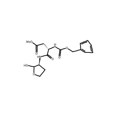 COC(=O)C[C@H](NC(=O)OCc1ccccc1)C(=O)N[C@H]1CCOC1O